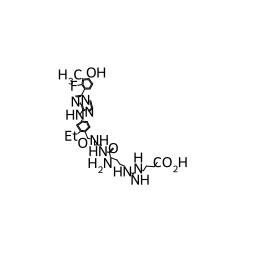 CCc1cc(Nc2nccn3c(-c4ccc(O)c(C)c4F)cnc23)ccc1C(=O)NCCNC(=O)C(N)CCCNC(=N)NCCCC(=O)O